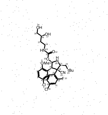 COc1ccc(Cl)cc1[C@H]1[C@@H](OC(=O)NCC[C@H](O)CO)N[C@@H](CC(C)(C)C)[C@]1(C#N)c1ccc(Cl)cc1F